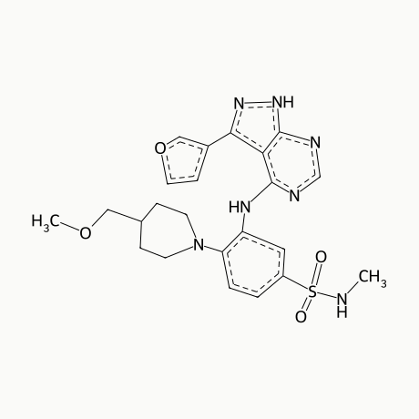 CNS(=O)(=O)c1ccc(N2CCC(COC)CC2)c(Nc2ncnc3[nH]nc(-c4ccoc4)c23)c1